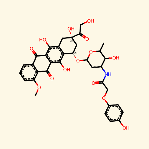 COc1cccc2c1C(=O)c1c(O)c3c(c(O)c1C2=O)C[C@@](O)(C(=O)CO)C[C@@H]3OC1CC(NC(=O)COc2ccc(O)cc2)C(O)C(C)O1